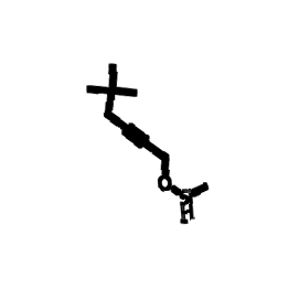 C[SiH](C)OCC#CCC(C)(C)C